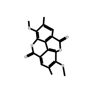 COc1c(C)cc2c(=O)oc3c(OC)c(C)cc4c(=O)oc1c2c34